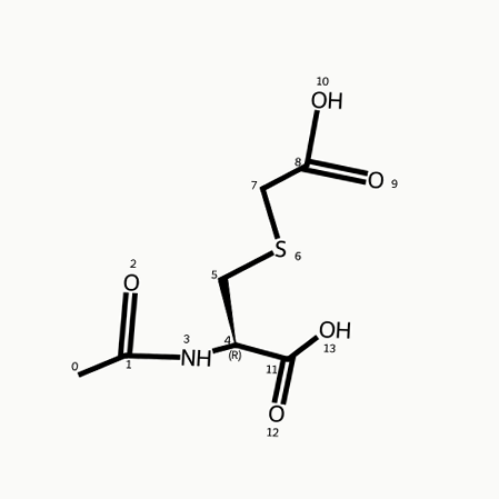 CC(=O)N[C@@H](CSCC(=O)O)C(=O)O